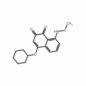 CSNc1cccc2c1C(=O)C(=O)C=C2OC1CCCCC1